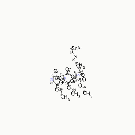 CCC[CH2][Sn+3].CCOC(=O)/C=C\C(=O)[O-].CCOC(=O)/C=C\C(=O)[O-].CCOC(=O)/C=C\C(=O)[O-]